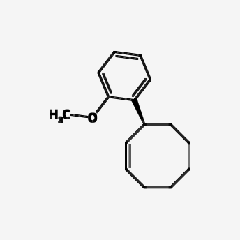 COc1ccccc1[C@@H]1/C=C\CCCCC1